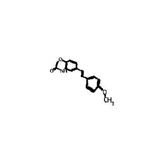 COc1ccc(C=Cc2ccc3c(c2)NC(=O)CO3)cc1